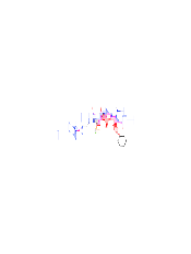 CC(C)C(NC(=O)OCc1ccccc1)C(=O)N[C@@H](CO)C(=O)N[C@@H](CCCNC(=N)N)C(=O)CF